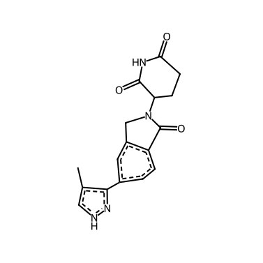 Cc1c[nH]nc1-c1ccc2c(c1)CN(C1CCC(=O)NC1=O)C2=O